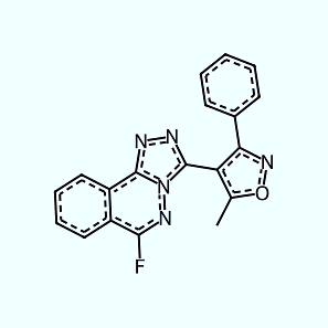 Cc1onc(-c2ccccc2)c1-c1nnc2c3ccccc3c(F)nn12